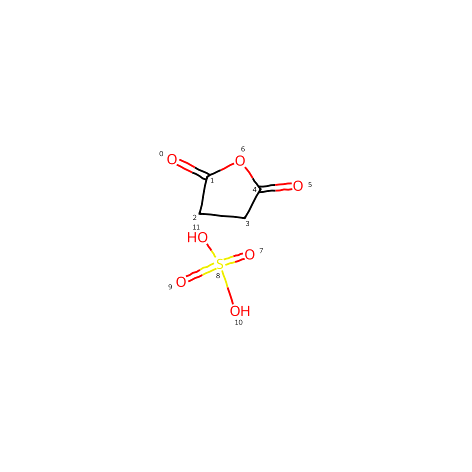 O=C1CCC(=O)O1.O=S(=O)(O)O